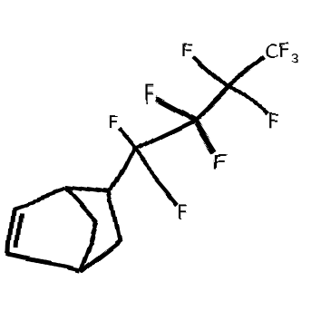 FC(F)(F)C(F)(F)C(F)(F)C(F)(F)C1CC2C=CC1C2